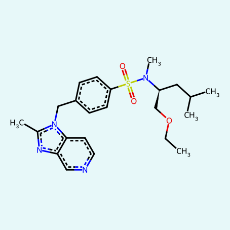 CCOC[C@H](CC(C)C)N(C)S(=O)(=O)c1ccc(Cn2c(C)nc3cnccc32)cc1